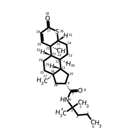 CCCC(C)(C)NC(=O)[C@H]1C[C@H]2[C@@H]3CC[C@H]4SC(=O)C=C[C@]4(C)[C@H]3CC[C@]2(C)C1